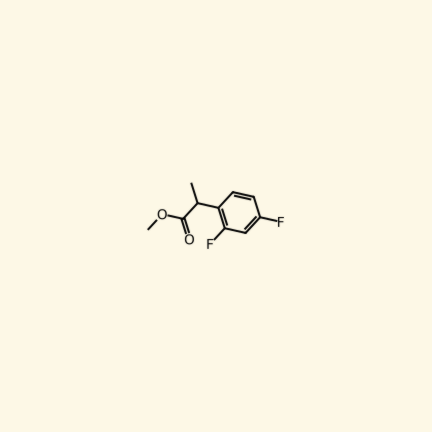 COC(=O)C(C)c1ccc(F)cc1F